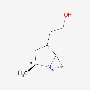 C[C@H]1CC(CCO)C2C[N@@]21